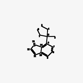 CCC(C)(CC)c1cccc2ccsc12